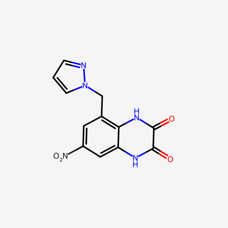 O=c1[nH]c2cc([N+](=O)[O-])cc(Cn3cccn3)c2[nH]c1=O